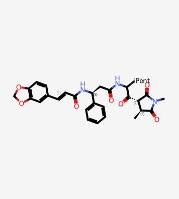 CCCC(C)C(NC(=O)C[C@H](NC(=O)/C=C/c1ccc2c(c1)OCO2)c1ccccc1)C(=O)[C@@H]1C(=O)N(C)C(=O)[C@H]1C